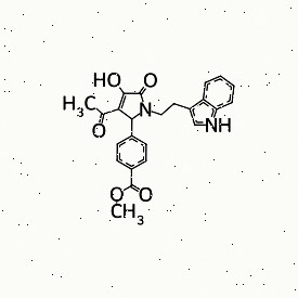 COC(=O)c1ccc(C2C(C(C)=O)=C(O)C(=O)N2CCc2c[nH]c3ccccc23)cc1